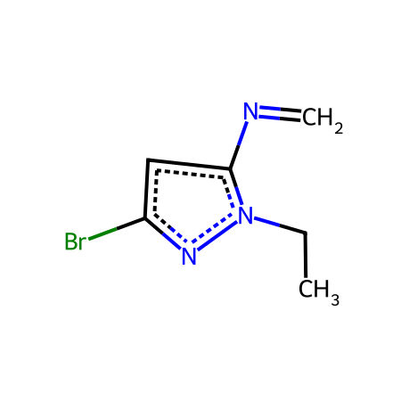 C=Nc1cc(Br)nn1CC